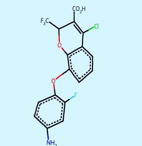 Nc1ccc(Oc2cccc3c2OC(C(F)(F)F)C(C(=O)O)=C3Cl)c(F)c1